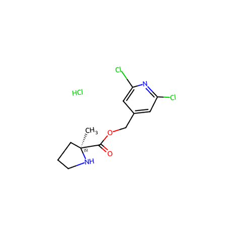 C[C@@]1(C(=O)OCc2cc(Cl)nc(Cl)c2)CCCN1.Cl